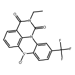 CCn1c(=O)c2cccc3c2n(c1=O)-c1cc(C(F)(F)F)ccc1[S+]3[O-]